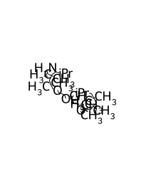 C/C(=C\COC(C)(C)CC(C)(C)CC(C)(C)CC(C)C)OCCOCC(C)(C)CC(C)(C)C(N)C(C)C